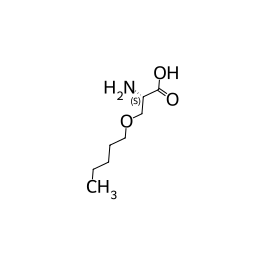 CCCCCOC[C@H](N)C(=O)O